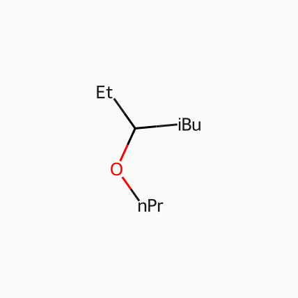 CCCOC(CC)C(C)CC